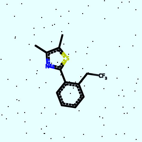 Cc1nc(-c2ccccc2CC(F)(F)F)sc1C